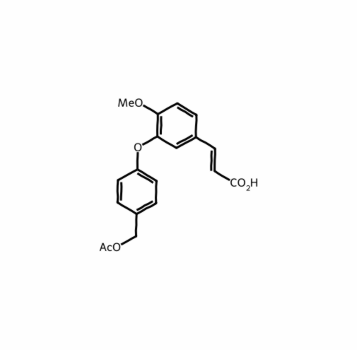 COc1ccc(C=CC(=O)O)cc1Oc1ccc(COC(C)=O)cc1